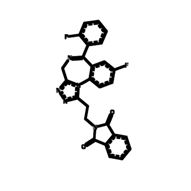 O=C1c2ccccc2C(=O)N1CCc1nnc2n1-c1ccc(F)cc1C(c1ccccc1F)=NC2